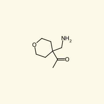 CC(=O)C1(CN)CCOCC1